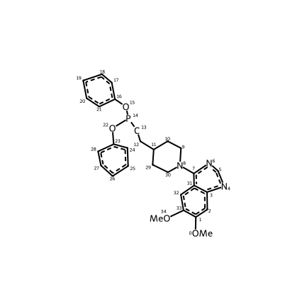 COc1cc2ncnc(N3CCC(CCP(Oc4ccccc4)Oc4ccccc4)CC3)c2cc1OC